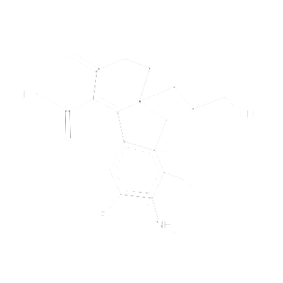 CCCCC12CCC(=O)C(C(C)=O)=C1c1cc(F)c(N)c(Cl)c1C2